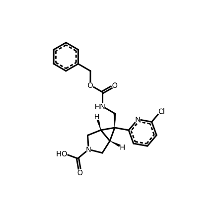 O=C(NC[C@@]1(c2cccc(Cl)n2)[C@@H]2CN(C(=O)O)C[C@@H]21)OCc1ccccc1